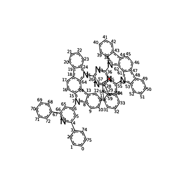 c1ccc(-c2cc(-n3c4ccccc4c4c3ccc3c5ccccc5n(-c5nc(-c6ccccc6)nc(-n6c7ccccc7c7ccc8c9ccccc9n(-c9ccccc9)c8c76)n5)c34)cc(-c3ccccc3)n2)cc1